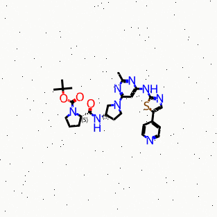 Cc1nc(Nc2ncc(-c3ccncc3)s2)cc(N2CC[C@H](NC(=O)[C@@H]3CCCN3C(=O)OC(C)(C)C)C2)n1